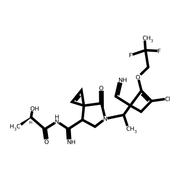 CC(N1CC(C(=N)NC(=O)[C@@H](C)O)C2(C=C2)C1=O)C1(C=N)CC(Cl)=C1OCC(C)(F)F